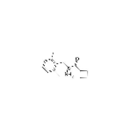 Cc1cccc(C)c1C[C@H](N)C(=O)C1CCC1